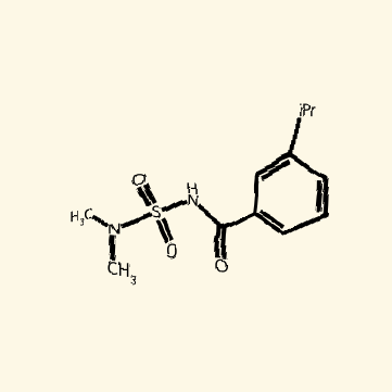 CC(C)c1cccc(C(=O)NS(=O)(=O)N(C)C)c1